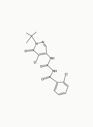 CC(C)(C)n1ncc(NC(=O)NC(=O)c2ccccc2Cl)c(Cl)c1=O